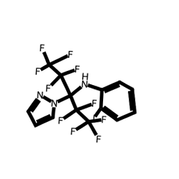 FC(F)(F)C(F)(F)C(Nc1ccccc1I)(n1cccn1)C(F)(F)C(F)(F)F